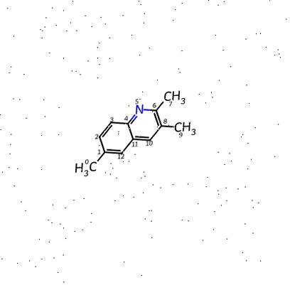 Cc1ccc2nc(C)c(C)cc2c1